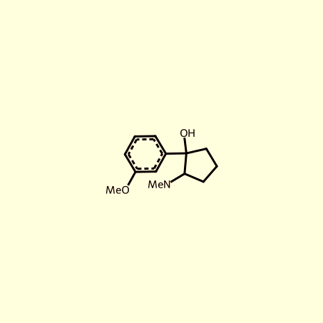 CNC1CCCC1(O)c1cccc(OC)c1